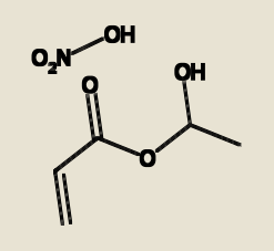 C=CC(=O)OC(C)O.O=[N+]([O-])O